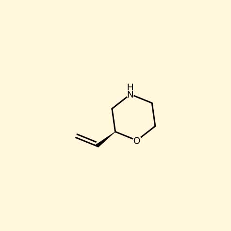 C=C[C@H]1CNCCO1